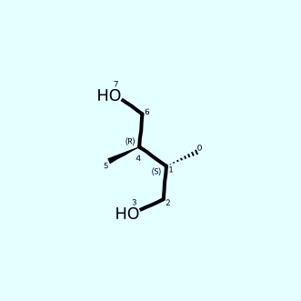 C[C@H](CO)[C@@H](C)CO